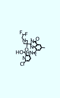 Cc1cc([C@@H](C)Nc2ccc(Cl)nc2C(=O)O)c2nc(C3(C)CN(CC(F)F)C3)n(C)c(=O)c2c1